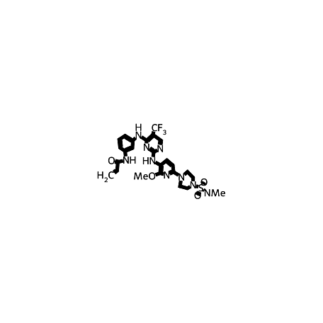 C=CC(=O)Nc1cccc(Nc2nc(Nc3ccc(N4CCN(S(=O)(=O)NC)CC4)nc3OC)ncc2C(F)(F)F)c1